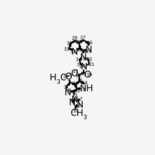 COc1cnc(-n2cnc(C)n2)c2[nH]cc(C(=O)C(=O)N3CCN(c4nccc5cccnc45)CC3)c12